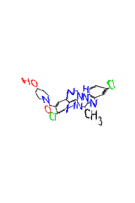 CC(Nc1ncnc2cc(C(=O)N3CCC(O)CC3)c(Cl)cc12)c1nc2cc(Cl)ccc2[nH]1